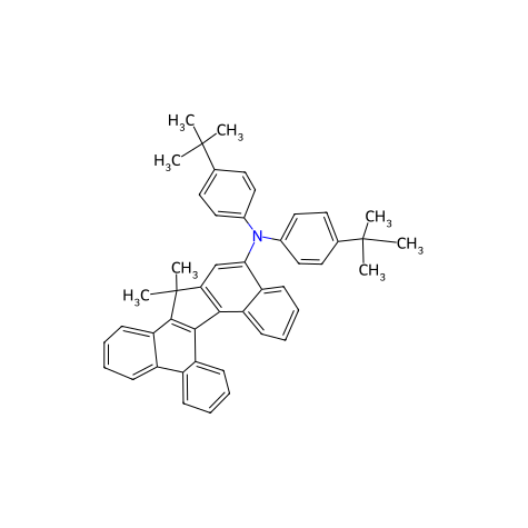 CC(C)(C)c1ccc(N(c2ccc(C(C)(C)C)cc2)c2cc3c(c4ccccc24)-c2c(c4ccccc4c4ccccc24)C3(C)C)cc1